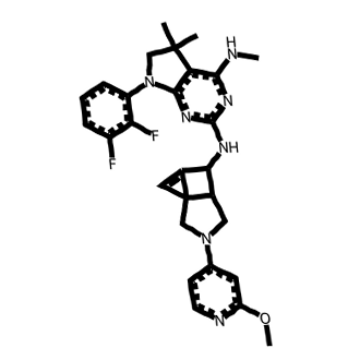 CNc1nc(NC2C3=CC34CN(c3ccnc(OC)c3)CC24)nc2c1C(C)(C)CN2c1cccc(F)c1F